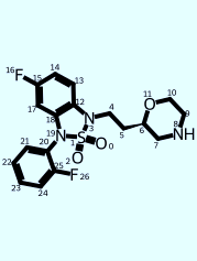 O=S1(=O)N(CC[C@@H]2CNCCO2)c2ccc(F)cc2N1c1ccccc1F